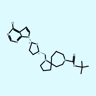 CC(C)(C)OC(=O)N1CCCC2(CCCN2C[C@@H]2CC[C@H](n3ccc4c(Cl)ncnc43)O2)CC1